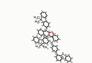 CC1(C)c2ccccc2-c2ccc(-c3c4ccccc4cc4c3oc3cccc(C(c5ccc(-c6cccc7c6Cc6ccccc6-7)cc5)c5ccc6c(c5)C(C)(C)c5ccccc5-6)c34)cc21